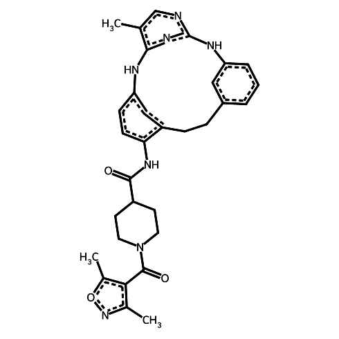 Cc1cnc2nc1Nc1ccc(NC(=O)C3CCN(C(=O)c4c(C)noc4C)CC3)c(c1)CCc1cccc(c1)N2